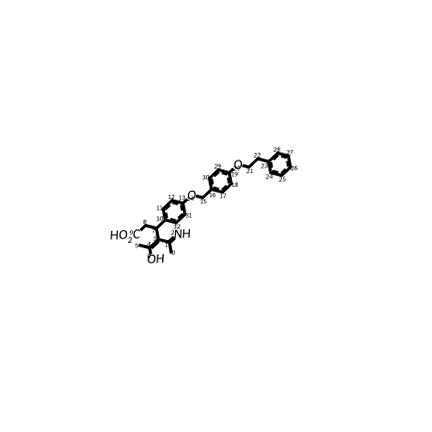 CC(=N)/C(=C(/C)O)C(CC(=O)O)c1ccc(OCc2ccc(OCCc3ccccc3)cc2)cc1